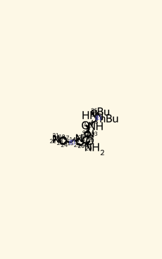 CCCC/N=C(\CCNC(=O)c1cc(-c2nc(/C=C/c3ccc(N(C)C)cc3)ccc2C(N)=O)cn1C)NCCCC